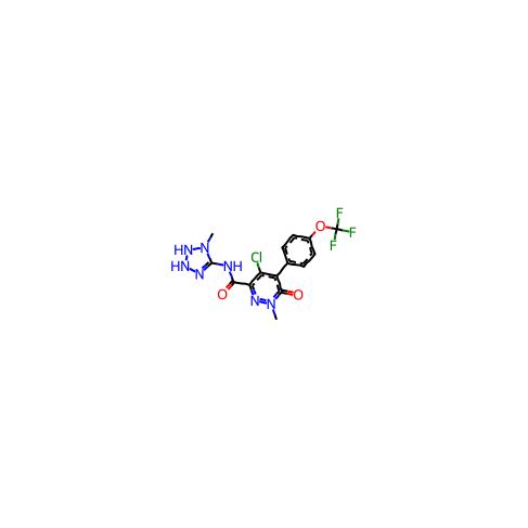 CN1NNN=C1NC(=O)c1nn(C)c(=O)c(-c2ccc(OC(F)(F)F)cc2)c1Cl